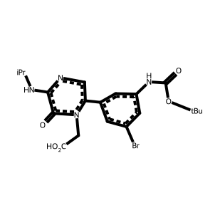 CC(C)Nc1ncc(-c2cc(Br)cc(NC(=O)OC(C)(C)C)c2)n(CC(=O)O)c1=O